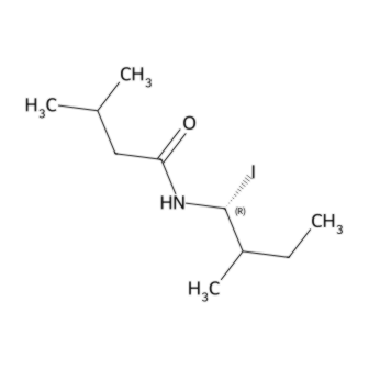 CCC(C)[C@@H](I)NC(=O)CC(C)C